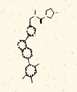 CCc1cc(O)c(F)cc1-c1ccc2c(-c3nc(CN(C)C(=O)N4CC[C@@H](O)C4)c[nH]3)n[nH]c2c1